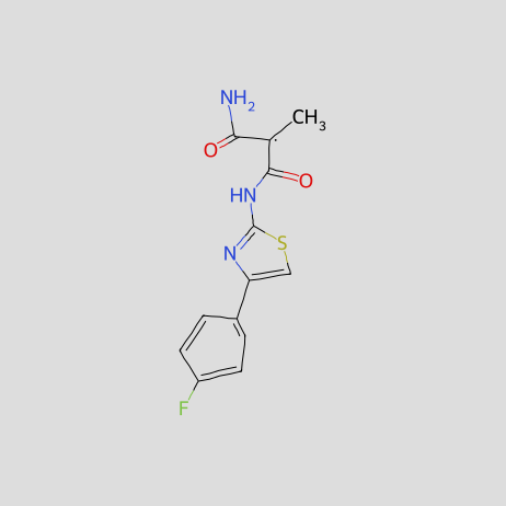 C[C](C(N)=O)C(=O)Nc1nc(-c2ccc(F)cc2)cs1